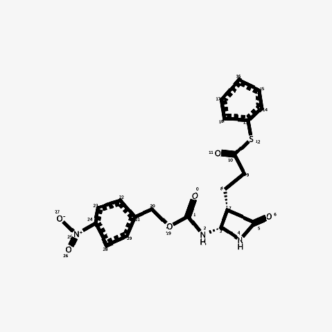 O=C(N[C@H]1NC(=O)[C@H]1CCC(=O)Sc1ccccc1)OCc1ccc([N+](=O)[O-])cc1